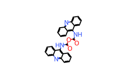 O=C(Nc1c2ccccc2nc2ccccc12)OC(=O)Nc1c2ccccc2nc2ccccc12